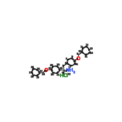 CC(N)(Cc1ccc(OCc2ccccc2)cc1)c1ccc(OCc2ccccc2)cc1.Cl